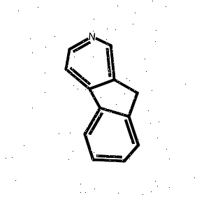 c1ccc2c(c1)Cc1cnccc1-2